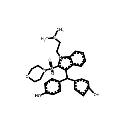 CN(C)CCn1c(S(=O)(=O)N2CCOCC2)c(C(c2ccc(O)cc2)c2ccc(O)cc2)c2ccccc21